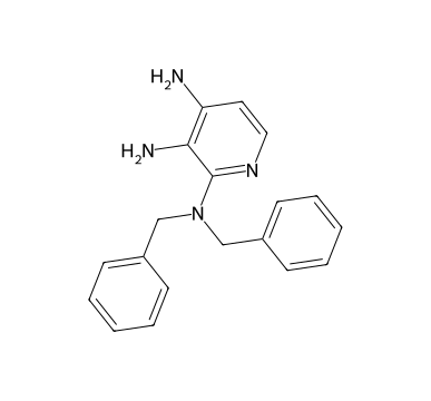 Nc1ccnc(N(Cc2ccccc2)Cc2ccccc2)c1N